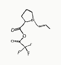 CC=CN1CCCC1C(=O)OC(=O)C(F)(F)F